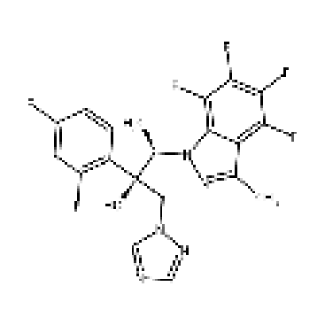 Cc1nn([C@H](C)[C@](O)(Cn2cncn2)c2ccc(F)cc2F)c2c(F)c(F)c(F)c(F)c12